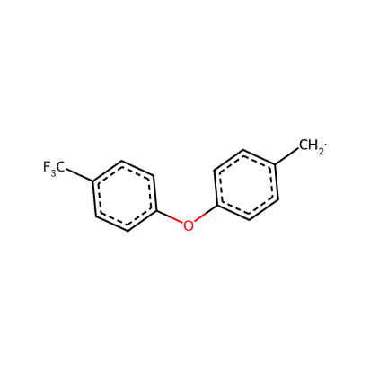 [CH2]c1ccc(Oc2ccc(C(F)(F)F)cc2)cc1